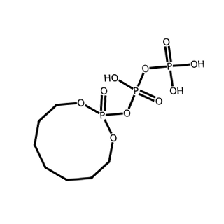 O=P(O)(O)OP(=O)(O)OP1(=O)OCCCCCCCO1